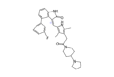 Cc1[nH]c(/C=C2\C(=O)Nc3cccc(-c4cccc(F)c4)c32)c(C)c1CC(=O)N1CCC(N2CCCC2)CC1